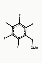 COCc1c(F)c(F)c(C)c(F)c1F